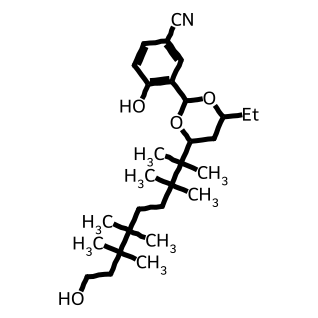 CCC1CC(C(C)(C)C(C)(C)CCC(C)(C)C(C)(C)CCO)OC(c2cc(C#N)ccc2O)O1